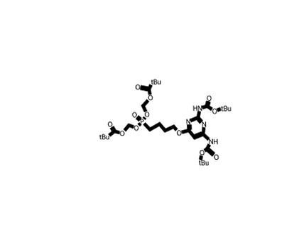 CC(C)(C)OC(=O)Nc1cc(OCCCCP(=O)(OCOC(=O)C(C)(C)C)OCOC(=O)C(C)(C)C)nc(NC(=O)OC(C)(C)C)n1